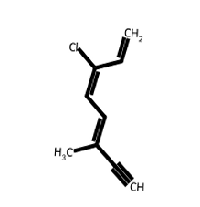 C#C/C(C)=C/C=C(/Cl)C=C